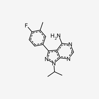 Cc1cc(-c2nn(C(C)C)c3ncnc(N)c23)ccc1F